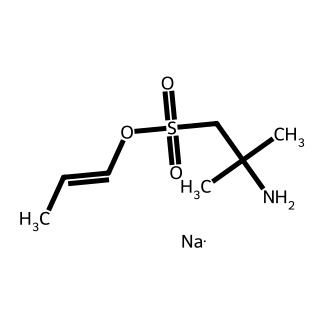 CC=COS(=O)(=O)CC(C)(C)N.[Na]